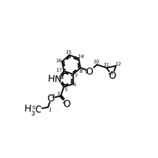 CCOC(=O)c1cc2c(OCC3CO3)cccc2[nH]1